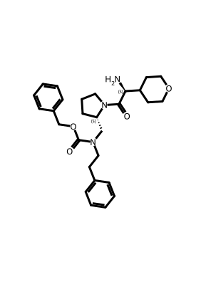 N[C@H](C(=O)N1CCC[C@H]1CN(CCc1ccccc1)C(=O)OCc1ccccc1)C1CCOCC1